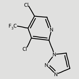 FC(F)(F)c1c(Cl)cnc(-n2ccnn2)c1Cl